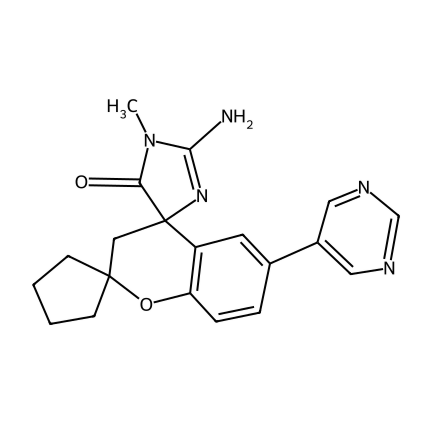 CN1C(=O)C2(CC3(CCCC3)Oc3ccc(-c4cncnc4)cc32)N=C1N